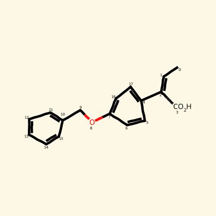 CC=C(C(=O)O)c1ccc(OCc2ccccc2)cc1